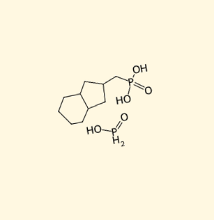 O=P(O)(O)CC1CC2CCCCC2C1.O=[PH2]O